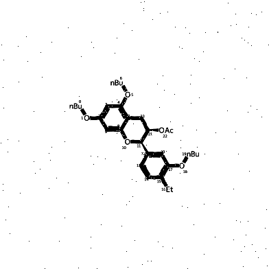 CCCCOc1cc(OCCCC)c2c(c1)O[C@H](c1ccc(CC)c(OCCCC)c1)[C@H](OC(C)=O)C2